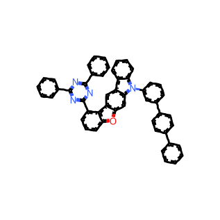 c1ccc(-c2ccc(-c3cccc(-n4c5ccccc5c5cc6c(cc54)oc4cccc(-c5nc(-c7ccccc7)nc(-c7ccccc7)n5)c46)c3)cc2)cc1